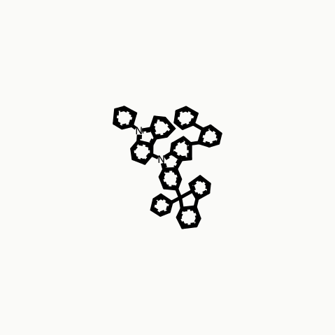 c1ccc(-c2ccccc2-c2ccc3c(c2)c2cc(C4(c5ccccc5)c5ccccc5-c5ccccc54)ccc2n3-c2cccc3c2c2ccccc2n3-c2ccccc2)cc1